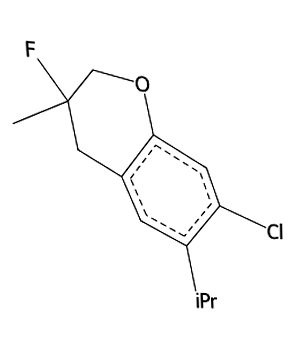 CC(C)c1cc2c(cc1Cl)OCC(C)(F)C2